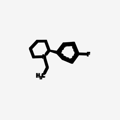 CCN1CCCC[C@H]1c1ccc(F)cc1